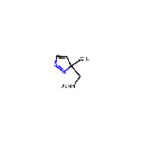 [CH2]C1(CNC(C)=O)C=CN=N1